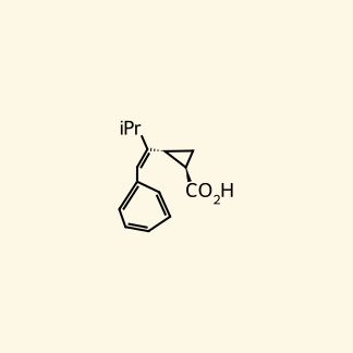 CC(C)C(=Cc1ccccc1)[C@@H]1C[C@H]1C(=O)O